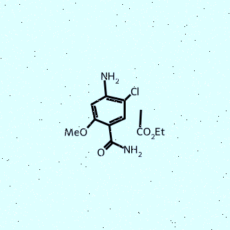 CCOC(C)=O.COc1cc(N)c(Cl)cc1C(N)=O